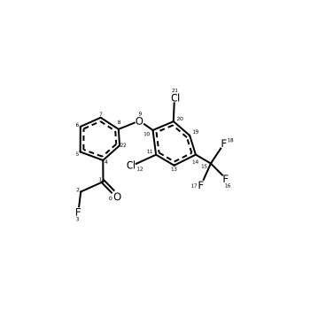 O=C(CF)c1cccc(Oc2c(Cl)cc(C(F)(F)F)cc2Cl)c1